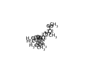 COC(=O)c1ccc(C)c(N2CCc3nc(N(C(=O)OC(C)(C)C)C(=O)OC(C)(C)C)ncc3C2)c1